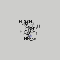 Cc1[nH]c(/C=C2\C(=O)Nc3ccc(F)cc32)c(C)c1C(=O)N[C@@H](CCC(=O)N(C)C)C(=O)O